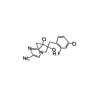 N#Cc1cn(CC(O)(Cc2ccc(Cl)cc2F)C2(Cl)CC2)cn1